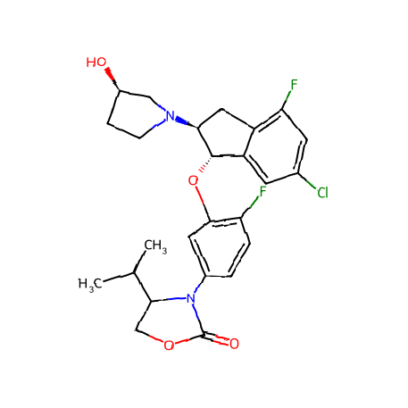 CC(C)C1COC(=O)N1c1ccc(F)c(O[C@H]2c3cc(Cl)cc(F)c3C[C@@H]2N2CC[C@@H](O)C2)c1